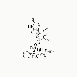 CC(C)OC(=O)[C@H](C)NP(=O)(OC[C@H]1O[C@@H](n2ccc(=S)[nH]c2=S)[C@@](F)(CF)C1O)Oc1ccccc1